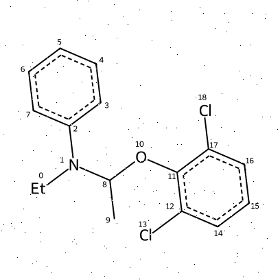 CCN(c1ccccc1)C(C)Oc1c(Cl)cccc1Cl